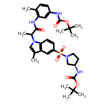 Cc1ccc(NC(=O)OC(C)(C)C)cc1NC(=O)C(C)n1cc(C)c2cc(S(=O)(=O)N3CC[C@@H](NC(=O)OC(C)(C)C)C3)ccc21